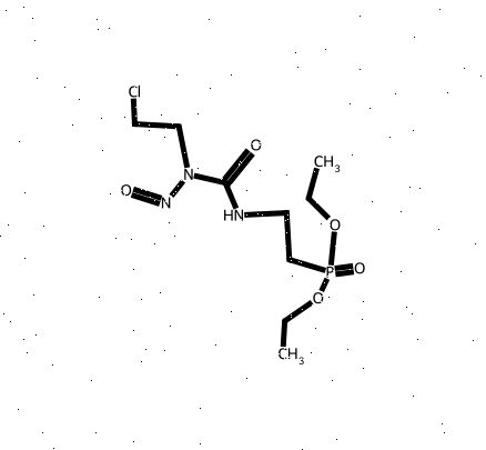 CCOP(=O)(CCNC(=O)N(CCCl)N=O)OCC